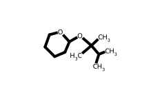 CC(C)C(C)(C)OC1CCCCO1